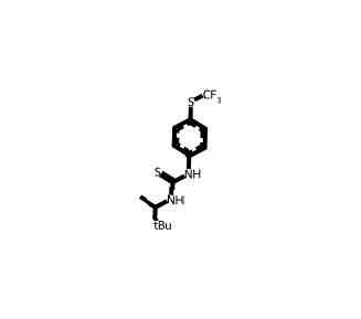 CC(NC(=S)Nc1ccc(SC(F)(F)F)cc1)C(C)(C)C